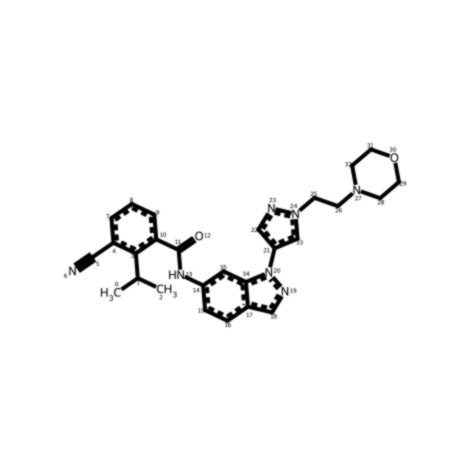 CC(C)c1c(C#N)cccc1C(=O)Nc1ccc2cnn(-c3cnn(CCN4CCOCC4)c3)c2c1